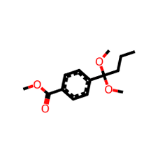 CCCC(OC)(OC)c1ccc(C(=O)OC)cc1